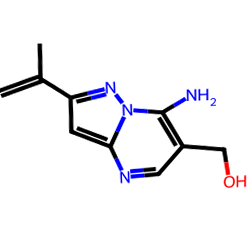 C=C(C)c1cc2ncc(CO)c(N)n2n1